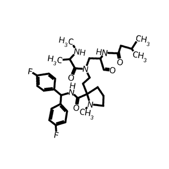 CNC(C)C(=O)N(CCC1(C(=O)NC(c2ccc(F)cc2)c2ccc(F)cc2)CCCN1C)CC(C=O)NC(=O)CC(C)C